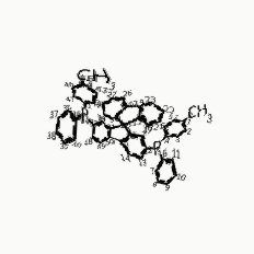 Cc1ccc(P(c2ccccc2)c2ccc3c(c2)C2(c4ccccc4-c4ccccc42)c2cc(P(c4ccccc4)c4ccc(C)cc4)ccc2-3)cc1